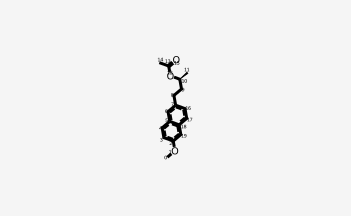 COc1ccc2cc(CC[C@H](C)OC(C)=O)ccc2c1